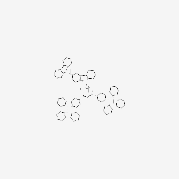 c1ccc([Si](c2ccccc2)(c2ccccc2)c2ccc(-c3cc(-c4ccc([Si](c5ccccc5)(c5ccccc5)c5ccccc5)cc4)nc(-n4c5ccccc5c5cc(-n6c7ccccc7c7ccccc76)ccc54)n3)cc2)cc1